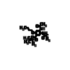 CCCCOc1cc(NC(C)=O)c(NC(C)=O)cc1C(=O)OC(C)(C)C